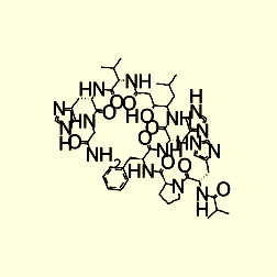 CC(C)CC(NC(=O)[C@H](Cc1c[nH]cn1)NC(=O)[C@H](Cc1ccccc1)NC(=O)[C@@H]1CCCN1C(=O)[C@H](Cc1c[nH]cn1)NC(=O)C(C)C)[C@@H](O)CC(=O)N[C@H](C(=O)N[C@@H](Cc1c[nH]cn1)C(=O)NCC(N)=O)C(C)C